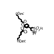 CCCCCCCCCCCCCCCC(=O)Oc1ccc(C(CNC(C)C)CS(=O)(=O)O)cc1OC(=O)CCCCCCCCCCCCCCC